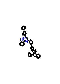 CC1(C)c2cc(-c3cccc(C4=CC(c5ccc(-c6ccccc6)cc5)NC(c5ccccc5)=N4)c3)ccc2-c2c(-c3ccccc3)cc3ccccc3c21